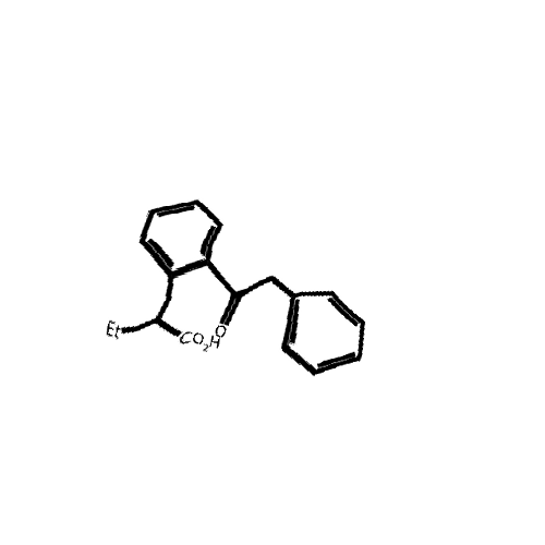 CCC(C(=O)O)c1ccccc1C(=O)Cc1ccccc1